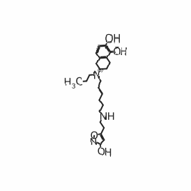 CCCN(CCCCCCNCCc1cc(O)no1)[C@H]1CCc2c(ccc(O)c2O)C1